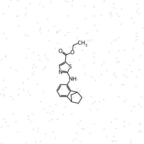 CCOC(=O)c1cnc(Nc2cccc3c2C2CCC3C2)s1